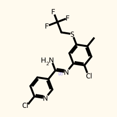 Cc1cc(Cl)c(/N=C(\N)c2ccc(Cl)nc2)cc1SCC(F)(F)F